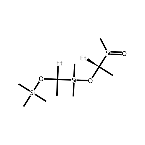 CCC(C)(O[Si](C)(C)C)[Si](C)(C)O[C@](C)(CC)[Si](C)=O